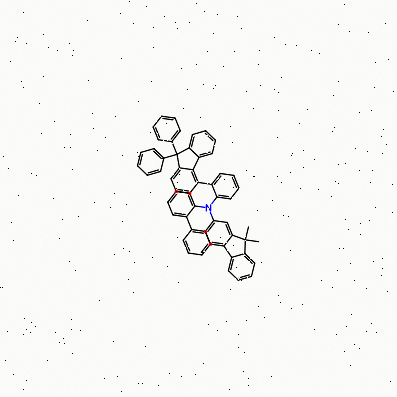 CC1(C)c2ccccc2-c2ccc(N(c3ccccc3-c3ccccc3)c3ccccc3-c3cccc4c3-c3ccccc3C4(c3ccccc3)c3ccccc3)cc21